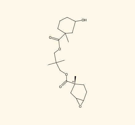 CC(C)(COC(=O)C1(C)CCCC(O)C1)COC(=O)[C@]1(C)CCC2OC2C1